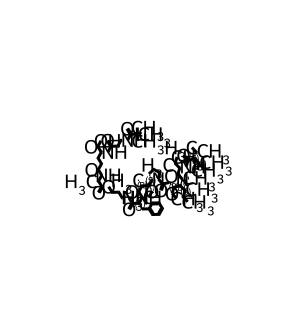 CC[C@H](C)[C@@H]([C@@H](CC(=O)N1CCC[C@H]1[C@H](OC)[C@@H](C)C(=O)N[C@@H](Cc1ccccc1)C(=O)NCCCOC(=O)C(C)NC(=O)CCC(NC(=O)CCNC(=O)C(C)(C)C)C(=O)O)OC)N(C)C(=O)C(NC(=O)[C@H](C(C)C)N(C)C)C(C)C